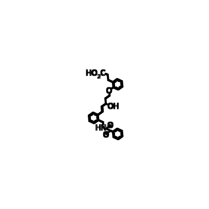 O=C(O)CCc1ccccc1OCC[C@@H](O)/C=C/c1ccccc1CNS(=O)(=O)c1ccccc1